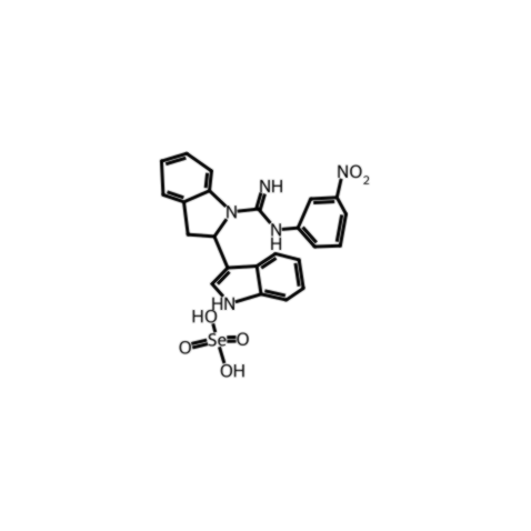 N=C(Nc1cccc([N+](=O)[O-])c1)N1c2ccccc2CC1c1c[nH]c2ccccc12.O=[Se](=O)(O)O